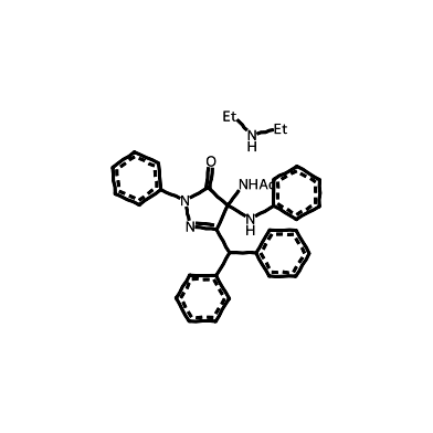 CC(=O)NC1(Nc2ccccc2)C(=O)N(c2ccccc2)N=C1C(c1ccccc1)c1ccccc1.CCNCC